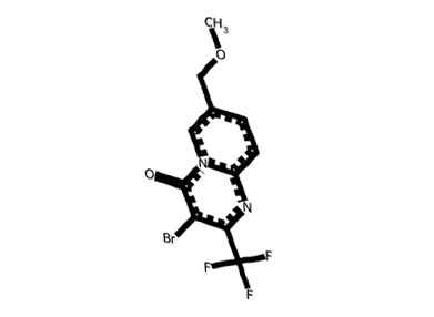 COCc1ccc2nc(C(F)(F)F)c(Br)c(=O)n2c1